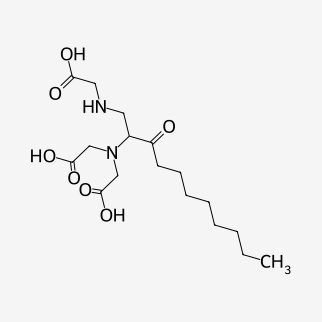 CCCCCCCCC(=O)C(CNCC(=O)O)N(CC(=O)O)CC(=O)O